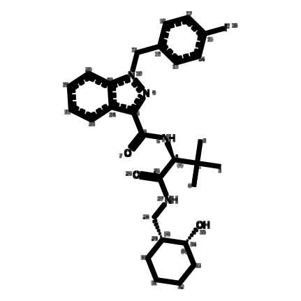 CC(C)(C)[C@H](NC(=O)c1nn(Cc2ccc(F)cc2)c2ccccc12)C(=O)NC[C@H]1CCCC[C@H]1O